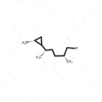 CC(C)C[C@H](C)CC[C@H](C)C1C[C@H]1N